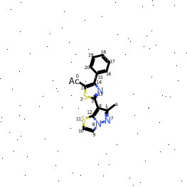 CC(=O)c1sc(-c2c(C)nn3ccsc23)nc1-c1ccccc1